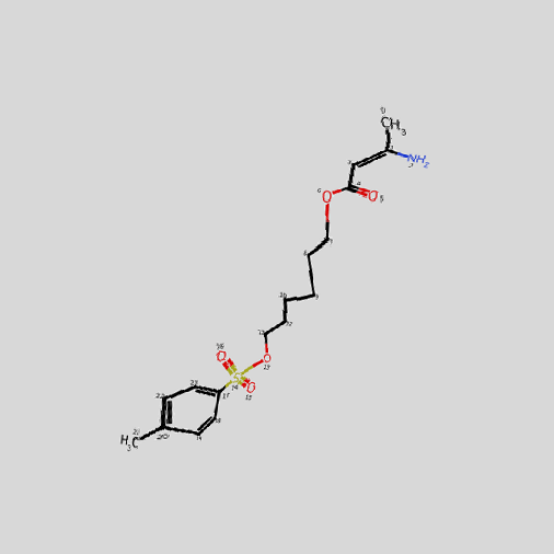 C/C(N)=C/C(=O)OCCCCCCOS(=O)(=O)c1ccc(C)cc1